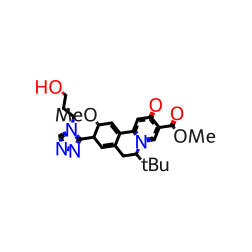 COC(=O)c1cn2c(cc1=O)C1=CC(OC)C(c3nncn3CCCO)C=C1CC2C(C)(C)C